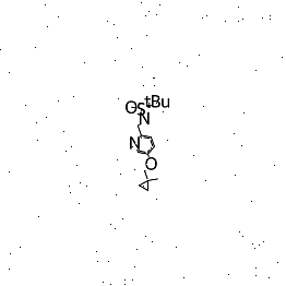 CC1(COc2ccc(/C=N/[S+]([O-])C(C)(C)C)nc2)CC1